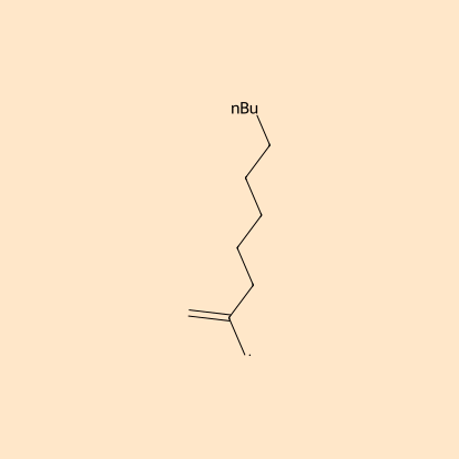 [CH2]C(=C)CCCCCCCCC